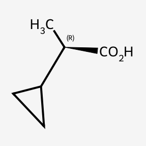 C[C@@H](C(=O)O)C1CC1